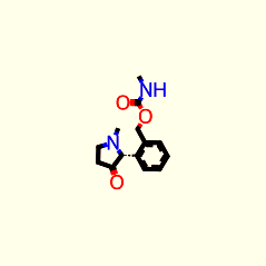 CNC(=O)OCc1ccccc1[C@@H]1C(=O)CCN1C